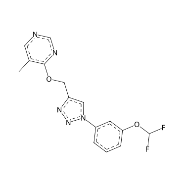 Cc1cncnc1OCc1cn(-c2cccc(OC(F)F)c2)nn1